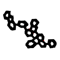 c1ccc(-c2ccc(-c3ccccc3N(c3ccc(-c4cccc(-c5cccc6c5sc5ccccc56)c4)cc3)c3ccccc3-c3ccc4ccccc4c3)cc2)cc1